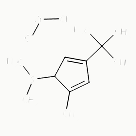 CC1=CC(C(C)(C)C)=CC1[Si](C)C.[Cl][Zr][Cl]